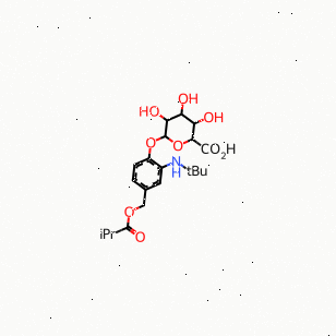 CC(C)C(=O)OCc1ccc(OC2OC(C(=O)O)C(O)C(O)C2O)c(NC(C)(C)C)c1